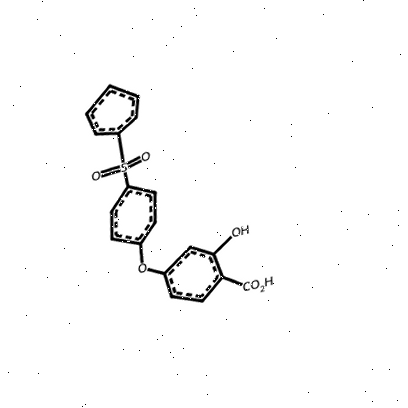 O=C(O)c1ccc(Oc2ccc(S(=O)(=O)c3ccccc3)cc2)cc1O